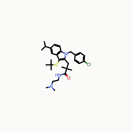 CC(C)c1ccc2c(c1)c(SC(C)(C)C)c(CC(C)(C)C(=O)NCCN(C)C)n2Cc1ccc(Cl)cc1